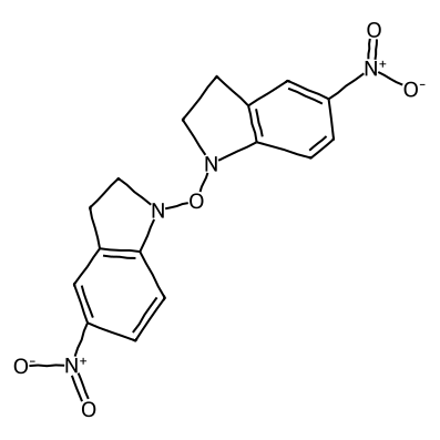 O=[N+]([O-])c1ccc2c(c1)CCN2ON1CCc2cc([N+](=O)[O-])ccc21